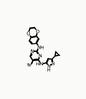 Brc1cnc(Nc2ccc3c(c2)OCCO3)nc1Nc1cc(C2CC2)n[nH]1